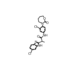 CC(C(=O)Nc1ccc(N2CCCCOC2=O)c(Cl)c1)c1nc2ccc(Cl)cc2[nH]1